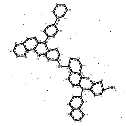 Nc1ccc2c(-c3ccc4ccccc4c3)c3ccc4c(Nc5ccc6c(-c7ccc(-c8ccccc8)cc7)c7ccc8ccccc8c7nc6c5)cccc4c3nc2c1